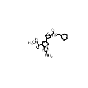 CNC(=O)c1cc(-c2csc(C(=O)NCc3ccccc3)c2)cn2nc(N)nc12